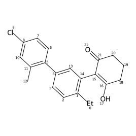 CCc1ccc(-c2ccc(Cl)cc2C)cc1C1=C(O)CCCC1=O